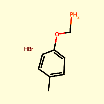 Br.Cc1ccc(OCP)cc1